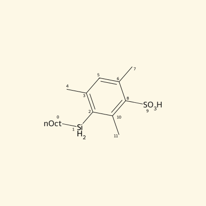 CCCCCCCC[SiH2]c1c(C)cc(C)c(S(=O)(=O)O)c1C